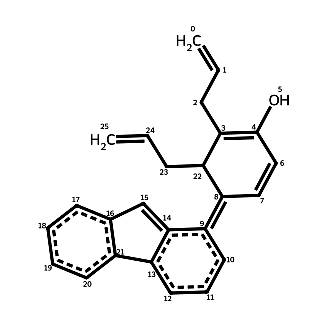 C=CCC1=C(O)C=CC(=c2cccc3c2=Cc2ccccc2-3)C1CC=C